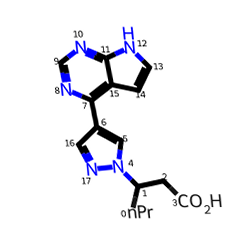 CCCC(CC(=O)O)n1cc(-c2ncnc3[nH]ccc23)cn1